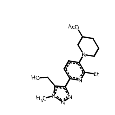 CCc1nc(-c2nnn(C)c2CO)ccc1N1CCCC(OC(C)=O)C1